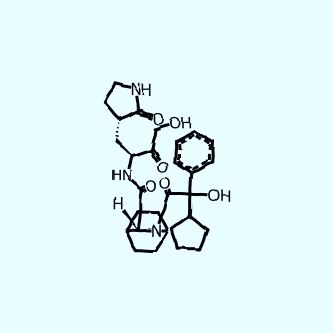 O=C1NCC[C@H]1C[C@H](NC(=O)[C@H]1C2CCC(CC2)N1C(=O)C(O)(c1ccccc1)C1CCCC1)C(=O)CO